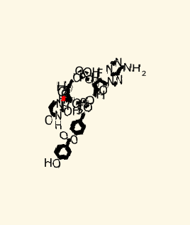 Nc1ncnc2c1ncn2[C@@H]1O[C@@H]2CO[P@](=O)(SCc3ccc(OC(=O)c4ccc(O)cc4)cc3)O[C@@H]3[C@H](F)[C@@H](COP(=O)(O)O[C@H]2[C@H]1F)O[C@H]3N1C=CC(=O)NC1O